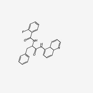 O=C(NC(Cc1ccccc1)C(=O)NC1=CC=CC2N=CC=CC12)c1ccccc1F